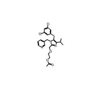 CC(=O)OCCOCc1nc(C(C)C)c(Sc2cc(Cl)cc(Cl)c2)n1Cc1cccnc1